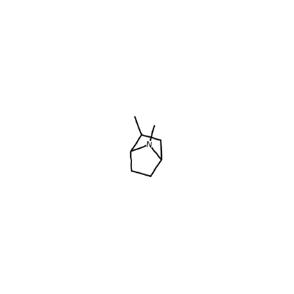 CC1CC2CCC1N2C